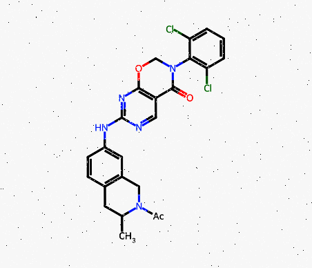 CC(=O)N1Cc2cc(Nc3ncc4c(n3)OCN(c3c(Cl)cccc3Cl)C4=O)ccc2CC1C